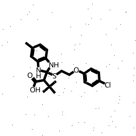 Cc1ccc2c(c1)NC(SCCOc1ccc(Cl)cc1)(C(C(=O)O)C(C)(C)C)N2